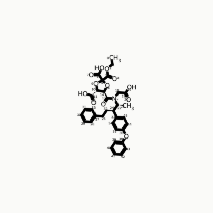 CCOC(=O)C1(C(=O)O)O[C@@H](C(=O)O)[C@H](C(=O)N(CC(=O)O)[C@H](C)[C@H](CCc2ccccc2)c2ccc(Oc3ccccc3)cc2)O1